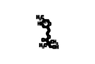 C[C@@H]1COC(CCOC(=O)C(C)(C)CO)CN1